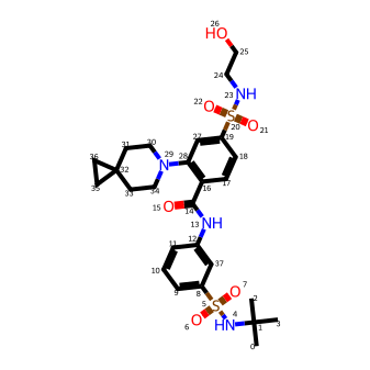 CC(C)(C)NS(=O)(=O)c1cccc(NC(=O)c2ccc(S(=O)(=O)NCCO)cc2N2CCC3(CC2)CC3)c1